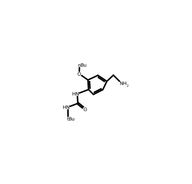 CCCCOc1cc(CN)ccc1NC(=O)NC(C)(C)C